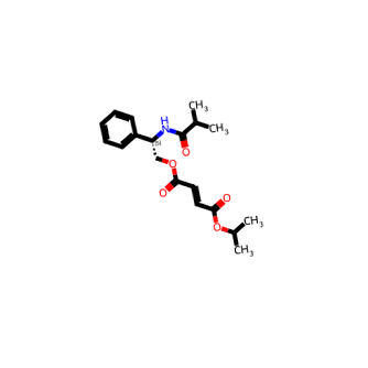 CC(C)OC(=O)C=CC(=O)OC[C@@H](NC(=O)C(C)C)c1ccccc1